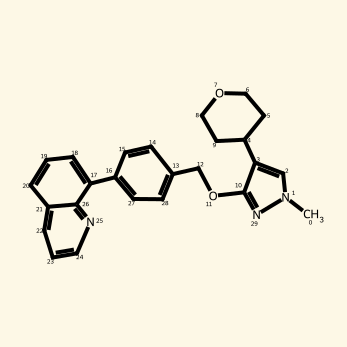 Cn1cc(C2CCOCC2)c(OCc2ccc(-c3cccc4cccnc34)cc2)n1